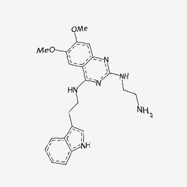 COc1cc2nc(NCCN)nc(NCCc3c[nH]c4ccccc34)c2cc1OC